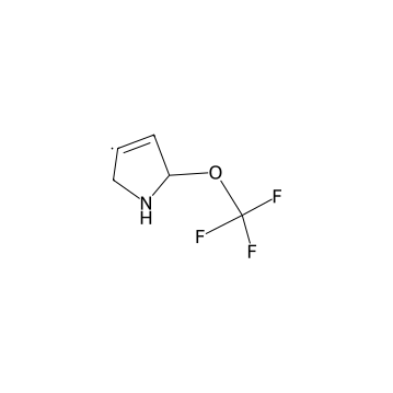 FC(F)(F)OC1C=[C]CN1